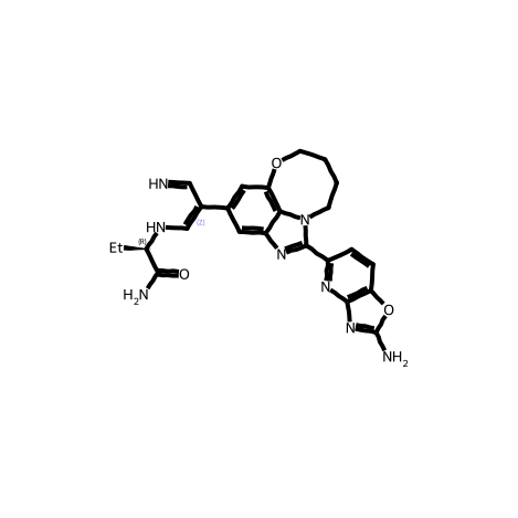 CC[C@@H](N/C=C(\C=N)c1cc2c3c(c1)nc(-c1ccc4oc(N)nc4n1)n3CCCCO2)C(N)=O